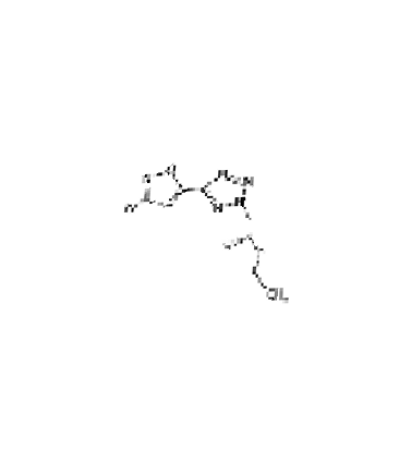 CCOC(=O)Cn1nnc(-c2cc(O)no2)n1